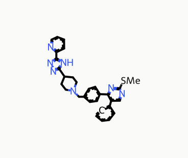 CSc1ncc(-c2ccccc2)c(-c2ccc(CN3CCC(c4nnc(-c5ccccn5)[nH]4)CC3)cc2)n1